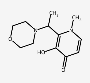 CC(c1c(O)c(=O)ccn1C)N1CCOCC1